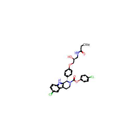 COCC(=O)NCC(O)COc1ccc([C@H]2c3[nH]c4ccc(Cl)cc4c3CCN2C(=O)Oc2ccc(Cl)cc2)cc1